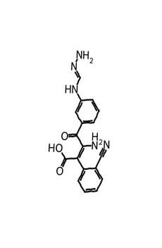 N#Cc1ccccc1C(C(=O)O)=C(N)C(=O)c1cccc(NC=NN)c1